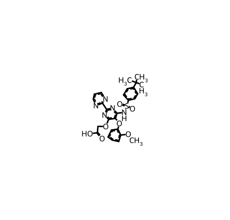 COc1ccccc1Oc1c(NS(=O)(=O)c2ccc(C(C)(C)C)cc2)nc(-c2ncccn2)nc1OCC(=O)O